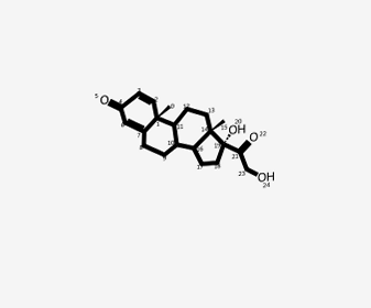 C[C@]12C=CC(=O)C=C1CCC1C2CC[C@@]2(C)C1CC[C@]2(O)C(=O)CO